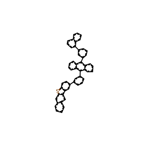 c1cc(-c2ccc3sc4cc5ccccc5cc4c3c2)cc(-c2c3ccccc3c(-c3cccc(-c4cccc5ccccc45)c3)c3ccccc23)c1